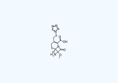 COC1(N)C(=O)N2C(C(=O)O)=C(CSn3cnnn3)CS[C@H]21